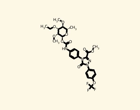 CCO[C@@H]1[C@@H](OC)[C@H](C)O[C@@H](OC(=O)Nc2ccc(-n3c(C(=O)OC)nn(-c4ccc(OC(F)(F)F)cc4)c3=O)cc2)[C@@H]1OC